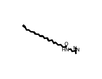 C#CCCCC=CCC=CCC=CCC=CCCCC(=O)NCCC1(C)N=N1